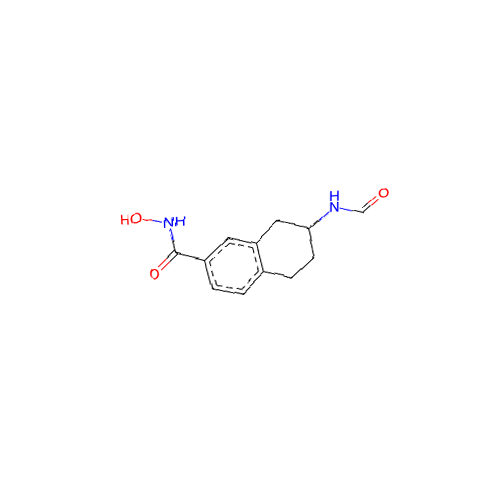 O=CNC1CCc2ccc(C(=O)NO)cc2C1